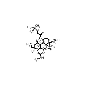 C=C[C@@]1(C)CC(=O)[C@]2(O)[C@@]3(C)[C@@H](OC(=O)CNC(C)(C)C)CCC(C)(C)[C@@H]3[C@H](O)[C@H](OC(=O)NC)[C@@]2(C)O1.Cl.O